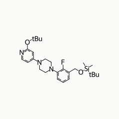 CC(C)(C)Oc1cc(N2CCN(c3cccc(CO[Si](C)(C)C(C)(C)C)c3F)CC2)ccn1